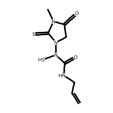 C=CCNC(=O)N(S)N1CC(=O)N(C)C1=S